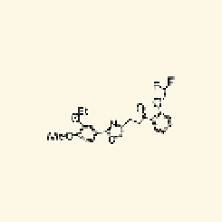 CCOc1cc(-c2nc(CCC(=O)c3ccccc3OCC(F)F)co2)ccc1OC